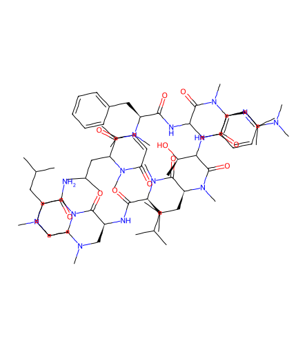 CC(C)/C=C\C(=O)N(C)C(CC(C)C)C(=O)N(C)[C@@H](Cc1ccccc1)C(=O)NC(Cc1ccc(N(C)C)nc1)C(=O)N(C)[C@@H](CC(C)C)C(=O)NC(C(=O)N(C)[C@@H](CC(C)C)C(=O)N(C)[C@@H](CC(C)C)C(=O)N[C@@H](CN(C)CCN(C)C(CC(C)C)C(N)=O)C(=O)N1CCCCC1)[C@@H](C)O